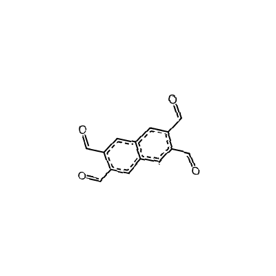 O=Cc1[c]c2cc(C=O)c(C=O)cc2cc1C=O